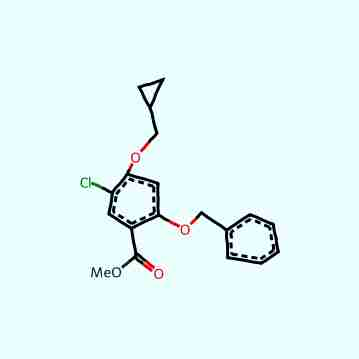 COC(=O)c1cc(Cl)c(OCC2CC2)cc1OCc1ccccc1